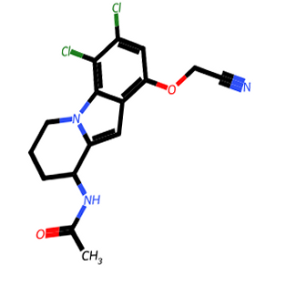 CC(=O)NC1CCCn2c1cc1c(OCC#N)cc(Cl)c(Cl)c12